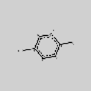 Cc1ccc(I)cn1